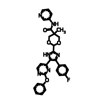 CC1(C(=O)Nc2cccnc2)COC(c2nc(-c3ccc(F)cc3)c(-c3ccnc(Oc4ccccc4)n3)[nH]2)OC1